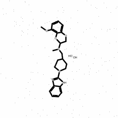 COc1cccc2c1OC(N(C)CC1CCN(c3nc4ccccc4[nH]3)CC1)CO2.Cl.Cl